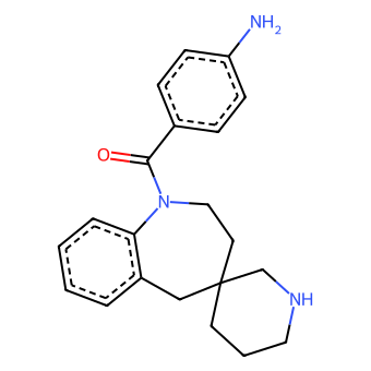 Nc1ccc(C(=O)N2CCC3(CCCNC3)Cc3ccccc32)cc1